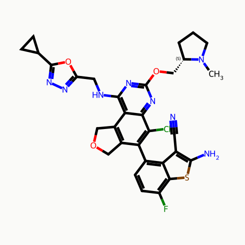 CN1CCC[C@H]1COc1nc(NCc2nnc(C3CC3)o2)c2c3c(c(-c4ccc(F)c5sc(N)c(C#N)c45)c(Cl)c2n1)COC3